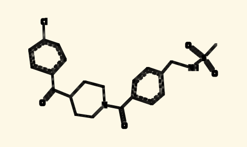 CS(=O)(=O)NCc1ccc(C(=O)N2CCC(C(=O)c3ccc(Cl)cc3)CC2)cc1